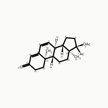 CC(=O)O[C@]1(C(C)=O)CC[C@H]2[C@@H]3C=CC4=CC(=O)CC[C@]4(C)[C@H]3CC[C@@]21C